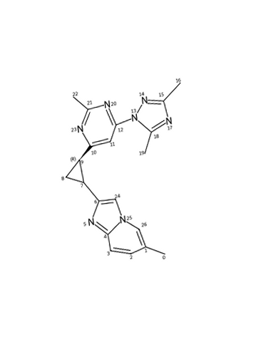 Cc1ccc2nc(C3C[C@H]3c3cc(-n4nc(C)nc4C)nc(C)n3)cn2c1